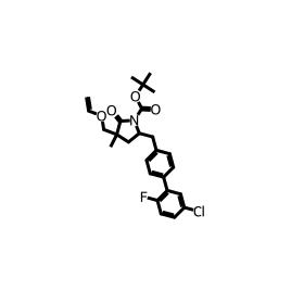 C=COCC1(C)CC(Cc2ccc(-c3cc(Cl)ccc3F)cc2)N(C(=O)OC(C)(C)C)C1=O